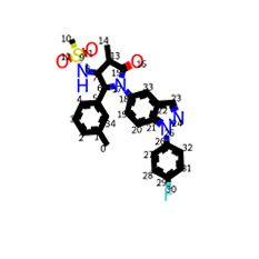 Cc1cccc(C2C(NS(C)(=O)=O)C(C)C(=O)N2c2ccc3c(cnn3-c3ccc(F)cc3)c2)c1